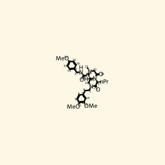 CCC[C@H]1C(=O)N(CCc2ccc(OC)c(OC)c2)C[C@H]2N1C(=O)CN(C)N2C(=O)NCc1ccc(OC)cc1